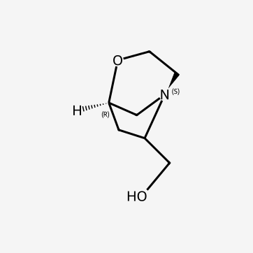 OCC1C[C@@H]2C[N@@]1CCO2